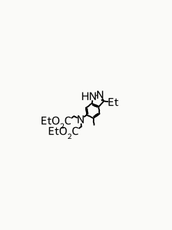 CCOC(=O)CN(CC(=O)OCC)c1cc2[nH]nc(CC)c2cc1C